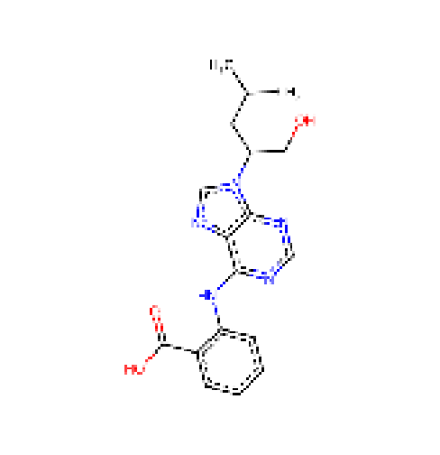 CC(C)CC(CO)n1cnc2c(Nc3ccccc3C(=O)O)ncnc21